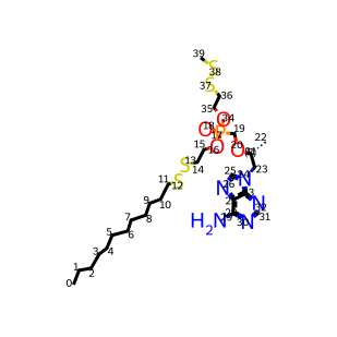 CCCCCCCCCCCCSSCCOP(=O)(CO[C@H](C)Cn1cnc2c(N)ncnc21)OCCSSC